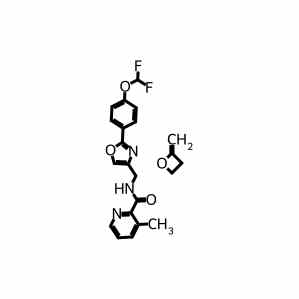 C=C1CCO1.Cc1cccnc1C(=O)NCc1coc(-c2ccc(OC(F)F)cc2)n1